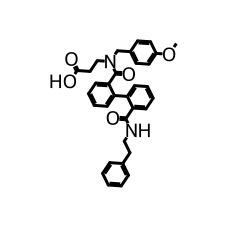 COc1ccc(CN(CCC(=O)O)C(=O)c2ccccc2-c2ccccc2C(=O)NCCc2ccccc2)cc1